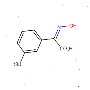 CC(C)(C)c1cccc(/C(=N/O)C(=O)O)c1